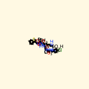 CCOC(Cc1csc2ccccc12)(OCC)[C@H](C)NC(=O)[C@H](CCCCNC(=O)O)NC(=O)CN(C)NC(=O)NCc1ccc(Cl)cc1